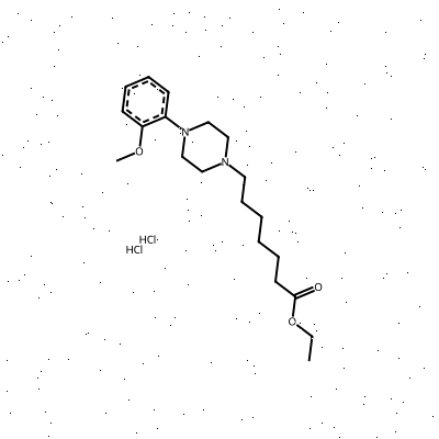 CCOC(=O)CCCCCCN1CCN(c2ccccc2OC)CC1.Cl.Cl